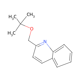 CC(C)(C)OCc1ccc2ccccc2n1